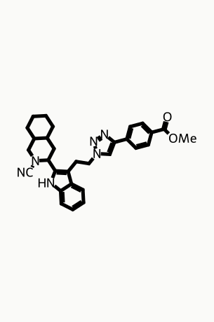 COC(=O)c1ccc(-c2cn(CCc3c(C4CC5CCCCC5CN4C#N)[nH]c4ccccc34)nn2)cc1